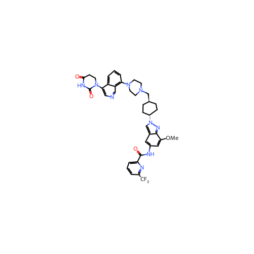 COc1cc(NC(=O)c2cccc(C(F)(F)F)n2)cc2cn([C@H]3CC[C@H](CN4CCN(c5cccc6c(N7CCC(=O)NC7=O)cncc56)CC4)CC3)nc12